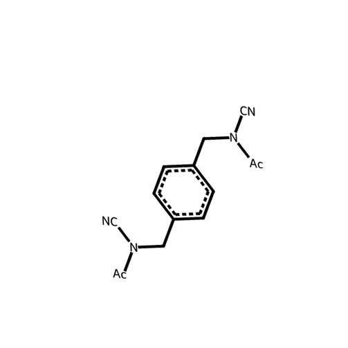 CC(=O)N(C#N)Cc1ccc(CN(C#N)C(C)=O)cc1